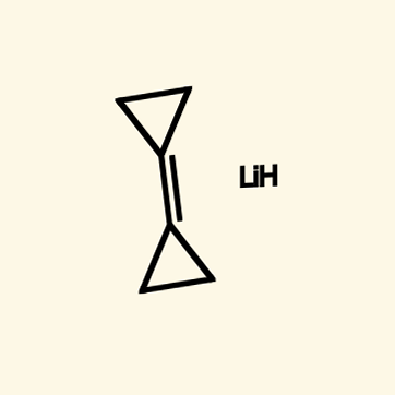 C1CC1=C1CC1.[LiH]